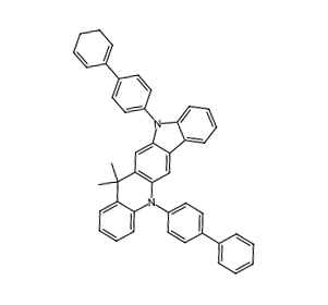 CC1(C)c2ccccc2N(c2ccc(-c3ccccc3)cc2)c2cc3c4ccccc4n(-c4ccc(C5=CCCC=C5)cc4)c3cc21